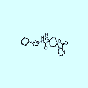 O=C1O[C@]2(CC[C@@](O)(C(=O)Nc3ccn(-c4ccccc4)n3)CC2)c2cccnc21